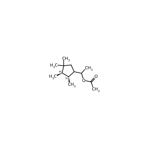 CC(=O)OC(C)C1CC(C)(C)[C@H](C)[C@@H]1C